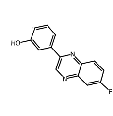 Oc1[c]ccc(-c2cnc3cc(F)ccc3n2)c1